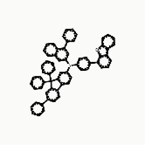 c1ccc(-c2ccc3c(c2)C(c2ccccc2)(c2ccccc2)c2cc(N(c4ccc(-c5cccc6c5oc5ccccc56)cc4)c4cc(-c5ccccc5)c5ccccc5c4)ccc2-3)cc1